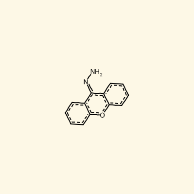 NN=c1c2ccccc2oc2ccccc12